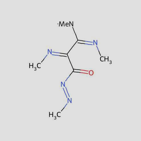 C[N]C(=NC)C(=NC)C(=O)N=NC